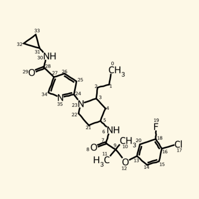 CCCC1CC(NC(=O)C(C)(C)Oc2ccc(Cl)c(F)c2)CCN1c1ccc(C(=O)NC2CC2)cn1